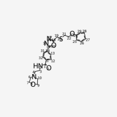 O=C(NCCN1CCOCC1)c1ccc(-c2nnc(CSCCOc3ccccc3)o2)cc1